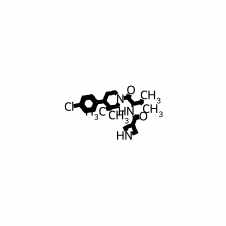 CC(C)[C@@H](NC(=O)C1CNC1)C(=O)N1CCC(c2ccc(Cl)cc2)C(C)(C)C1